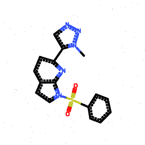 Cn1nncc1-c1ccc2ccn(S(=O)(=O)c3ccccc3)c2n1